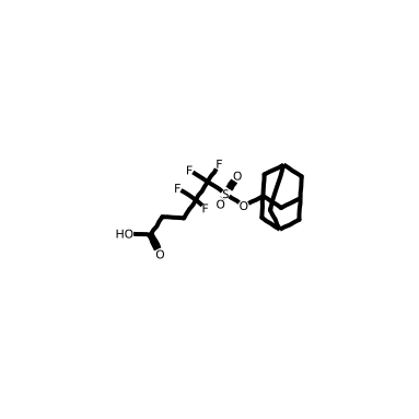 O=C(O)CCC(F)(F)C(F)(F)S(=O)(=O)OC12CC3CC(CC(C3)C1)C2